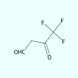 O=[C]CC(=O)C(F)(F)F